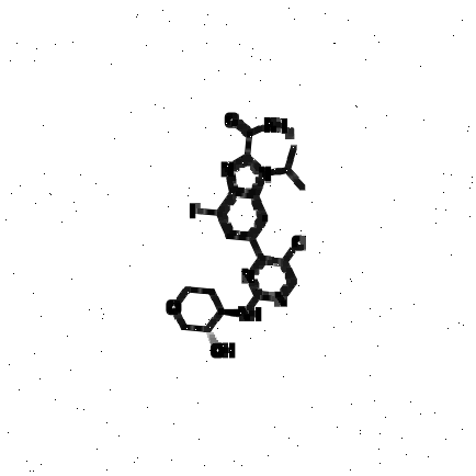 CC(C)n1c(C(N)=O)nc2c(F)cc(-c3nc(N[C@@H]4CCOC[C@H]4O)ncc3Cl)cc21